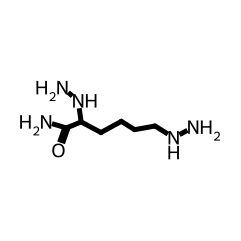 NNCCCCC(NN)C(N)=O